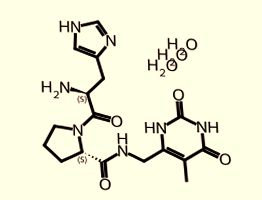 Cc1c(CNC(=O)[C@@H]2CCCN2C(=O)[C@@H](N)Cc2c[nH]cn2)[nH]c(=O)[nH]c1=O.O.O.O